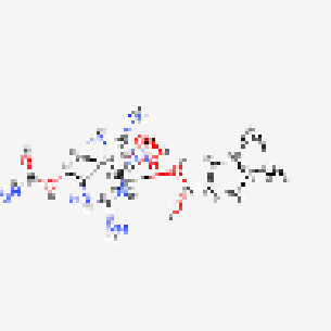 Cc1ccc(C(=O)O[C@H]2CN3C(=N)N[C@@H](COC(N)=O)[C@@H]4NC(=N)N[C@@]43C2(O)O)cc1C